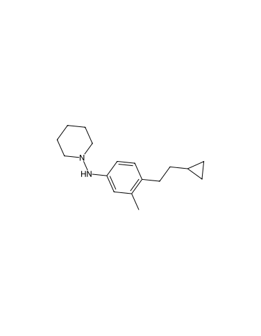 Cc1cc(NN2CCCCC2)ccc1CCC1CC1